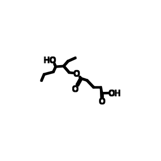 CCCC(O)C(CC)COC(=O)CCCC(=O)O